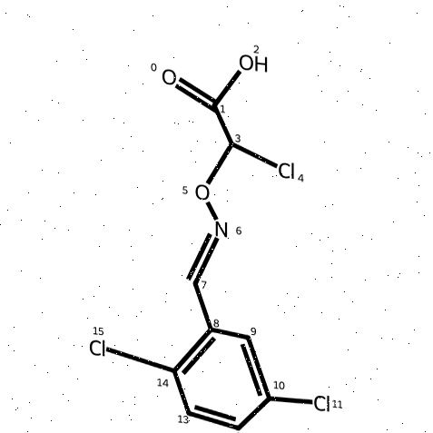 O=C(O)C(Cl)ON=Cc1cc(Cl)ccc1Cl